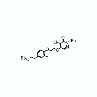 CCOCCc1ccc(OCCOc2cnn(C(C)(C)C)c(=O)c2Cl)c(C)c1